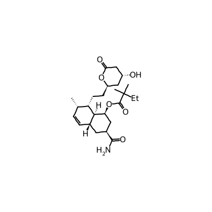 CCC(C)(C)C(=O)O[C@H]1C[C@@H](C(N)=O)C[C@@H]2C=C[C@H](C)[C@H](CC[C@@H]3C[C@@H](O)CC(=O)O3)[C@@H]12